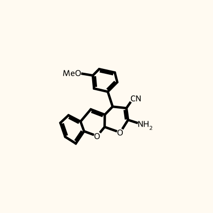 COc1cccc(C2C3=Cc4ccccc4OC3OC(N)=C2C#N)c1